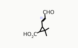 CC1(C)C(/C=C/C=O)C1C(=O)O